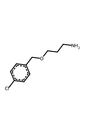 NCCCOCc1ccc(Cl)cc1